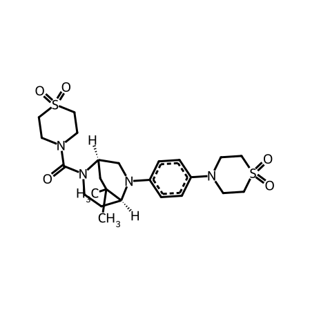 CC1(C)C[C@@H]2CN(c3ccc(N4CCS(=O)(=O)CC4)cc3)[C@H]1CCN2C(=O)N1CCS(=O)(=O)CC1